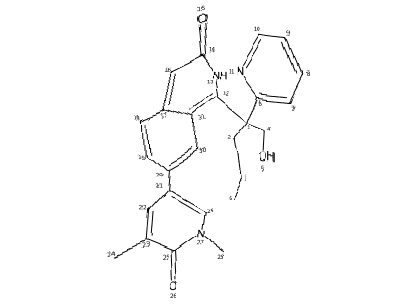 CCCC(CO)(c1ccccn1)c1[nH]c(=O)cc2ccc(-c3cc(C)c(=O)n(C)c3)cc12